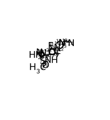 COC(=S)NC(c1cc(F)c(N2CCN(CC#N)CC2)c(F)c1)c1c[nH]nn1